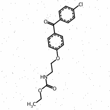 CCOC(=O)NCCOc1ccc(C(=O)c2ccc(Cl)cc2)cc1